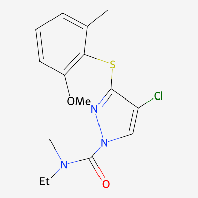 CCN(C)C(=O)n1cc(Cl)c(Sc2c(C)cccc2OC)n1